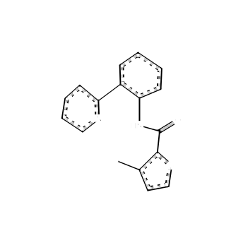 Cc1ccsc1C(=O)Nc1ccccc1-c1ccccn1